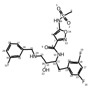 CS(=O)(=O)Nc1cc(C(=O)N[C@@H](Cc2cc(F)cc(F)c2)[C@H](O)CNCc2cccc(I)c2)no1